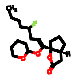 CCCC[C@@H](F)CC=C(OC1CCCCO1)[C@@]12CCC[C@H]1CC(=O)O2